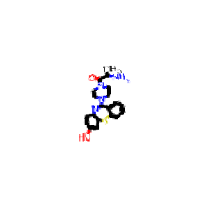 CC(N)C(=O)N1CCN(C2=Nc3ccc(O)cc3Sc3ccccc32)CC1